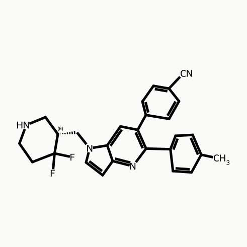 Cc1ccc(-c2nc3ccn(C[C@H]4CNCCC4(F)F)c3cc2-c2ccc(C#N)cc2)cc1